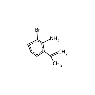 C=C(C)c1cccc(Br)c1N